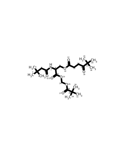 CC(C)(C)CC(=O)NC(COC(=O)CCC(=O)C(C)(C)C)C(=O)OCOC(=O)C(C)(C)C